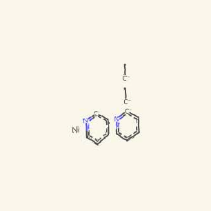 [CH2-]C.[CH2-]C.[Ni].[c-]1ccccn1.[c-]1ccccn1